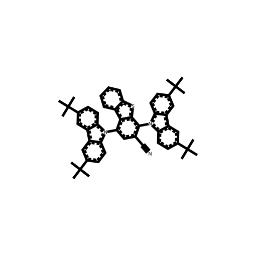 CC(C)(C)c1ccc2c(c1)c1cc(C(C)(C)C)ccc1n2-c1c(C#N)cc(-n2c3ccc(C(C)(C)C)cc3c3cc(C(C)(C)C)ccc32)c2c1sc1ccccc12